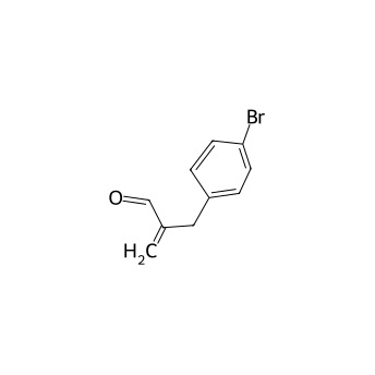 C=C(C=O)Cc1ccc(Br)cc1